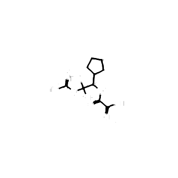 C=C(C)C(=O)OC(C1CCCC1)C(OC(=O)C(C)C)(C(F)(F)F)C(F)(F)F